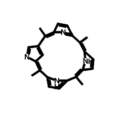 Cc1c2cc(c(C)c3ccc([nH]3)c(C)c3ccc([nH]3)c(C)c3nc1C=C3)N=C2